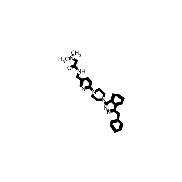 CN(C)CC(=O)NCc1ccc(N2CCN(c3nnc(Cc4ccccc4)c4ccccc34)CC2)nc1